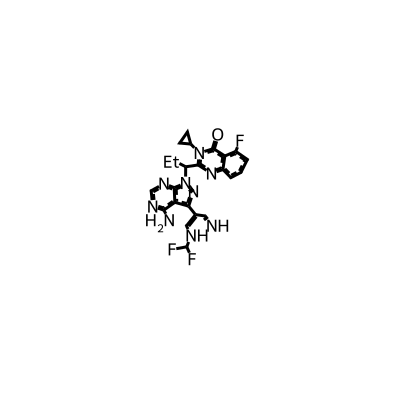 CCC(c1nc2cccc(F)c2c(=O)n1C1CC1)n1nc(/C(C=N)=C/NC(F)F)c2c(N)ncnc21